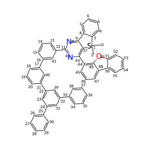 C[Si]1(C)c2ccccc2-c2nc(-c3cccc(-c4cccc(-c5cc(-c6ccccc6)cc(-c6ccccc6)c5)c4)c3)nc(-c3cccc4c3oc3ccccc34)c21